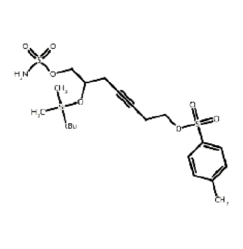 Cc1ccc(S(=O)(=O)OCCC#CCC(COS(N)(=O)=O)O[Si](C)(C)C(C)(C)C)cc1